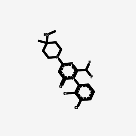 CNC1(C)CCN(c2cc(=O)n(-c3cccc(Cl)c3Cl)c(C(F)F)n2)CC1